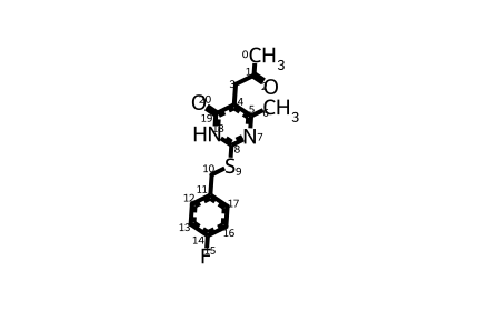 CC(=O)Cc1c(C)nc(SCc2ccc(F)cc2)[nH]c1=O